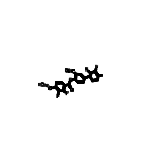 CCCCCCCCCCOc1ccc(C(=O)Oc2ccc(-c3ccc(C)c(F)c3F)cc2C=O)c(F)c1F